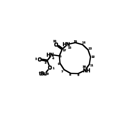 CC(C)(C)OC(=O)NC1CCCCNCCCCCNC1=O